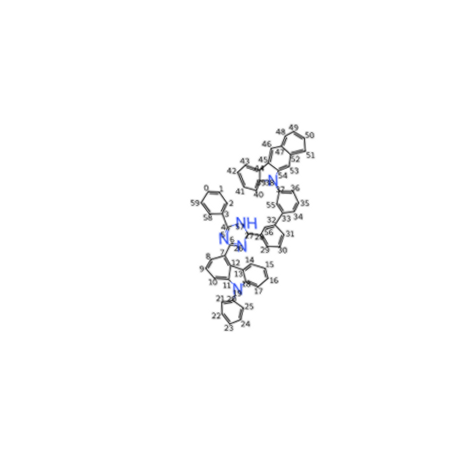 c1ccc(C2=NC(c3cccc4c3c3ccccc3n4-c3ccccc3)=NC(c3cccc(-c4cccc(-n5c6ccccc6c6cc7ccccc7cc65)c4)c3)N2)cc1